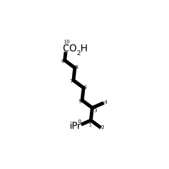 CC(C)C(C)C(C)CCCCCC(=O)O